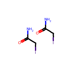 NC(=O)CI.NC(=O)CI